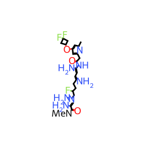 CNC(=O)/C(N)=C/N(N)CC(F)CC/C(N)=C/C=C(\N)NC(=O)Cc1cc(OC2CC(F)(F)C2)cc(C)n1